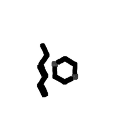 C1COCCO1.C=CC=CCC